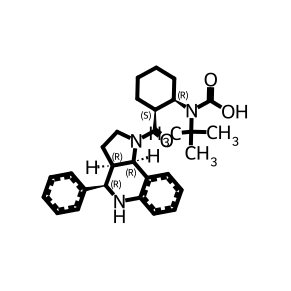 CC(C)(C)N(C(=O)O)[C@@H]1CCCC[C@@H]1C(=O)N1CC[C@@H]2[C@H](c3ccccc3)Nc3ccccc3[C@@H]21